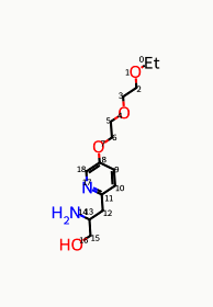 CCOCCOCCOc1ccc(CC(N)CO)nc1